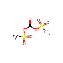 O=C(OS(=O)(=O)C(F)(F)F)OS(=O)(=O)C(F)(F)F